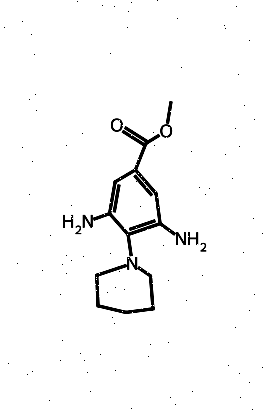 COC(=O)c1cc(N)c(N2CCCCC2)c(N)c1